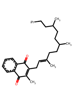 CC1=C(C/C=C(\C)CCC(C)CCC(C)CCC(C)C)C(=O)c2ccccc2C1=O